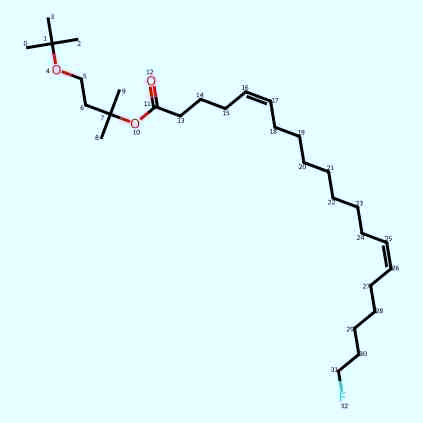 CC(C)(C)OCCC(C)(C)OC(=O)CCC/C=C\CCCCCCC/C=C\CCCCCF